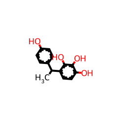 CC(c1ccc(O)cc1)c1ccc(O)c(O)c1O